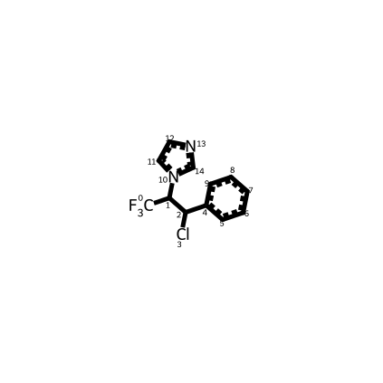 FC(F)(F)C(C(Cl)c1ccccc1)n1ccnc1